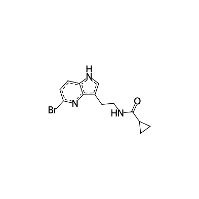 O=C(NCCc1c[nH]c2ccc(Br)nc12)C1CC1